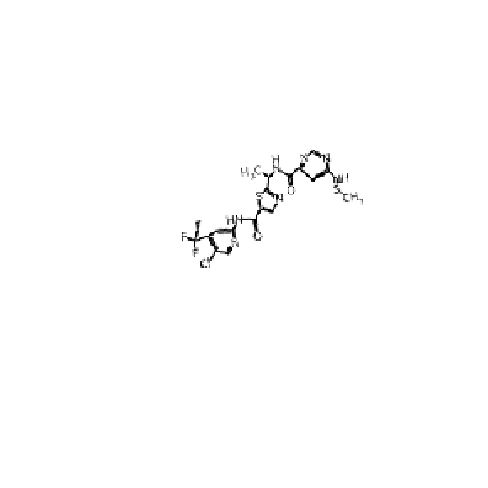 CSNc1cc(C(=O)NC(C)c2ncc(C(=O)Nc3cc(C(F)(F)F)c(Cl)cn3)s2)ncn1